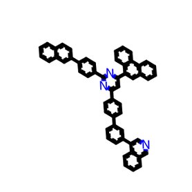 c1cc(-c2ccc(-c3cc(-c4cc5ccccc5c5ccccc45)nc(-c4ccc(-c5ccc6ccccc6c5)cc4)n3)cc2)cc(-c2cncc3ccccc23)c1